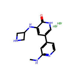 Br.Br.CNc1cc(-c2c[nH]c(=O)c(NC3CNC3)c2)ccn1